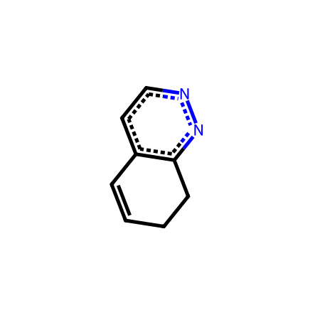 C1=Cc2ccnnc2CC1